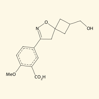 COc1ccc(C2=NOC3(C2)CC(CO)C3)cc1C(=O)O